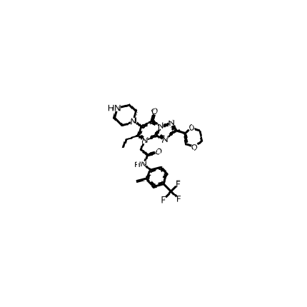 CCc1c(N2CCNCC2)c(=O)n2nc(C3=COCCO3)nc2n1CC(=O)Nc1ccc(C(F)(F)F)cc1C